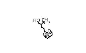 COC(CO)CCCC12OC3CC(CC(C3)O1)O2